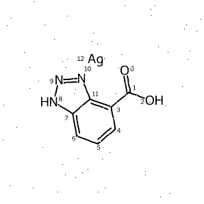 O=C(O)c1cccc2[nH]nnc12.[Ag]